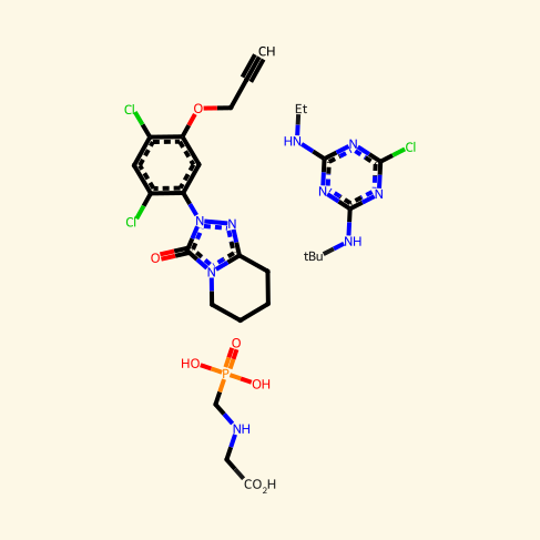 C#CCOc1cc(-n2nc3n(c2=O)CCCC3)c(Cl)cc1Cl.CCNc1nc(Cl)nc(NC(C)(C)C)n1.O=C(O)CNCP(=O)(O)O